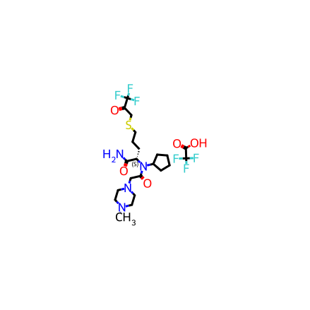 CN1CCN(CC(=O)N(C2CCCC2)[C@@H](CCCSCC(=O)C(F)(F)F)C(N)=O)CC1.O=C(O)C(F)(F)F